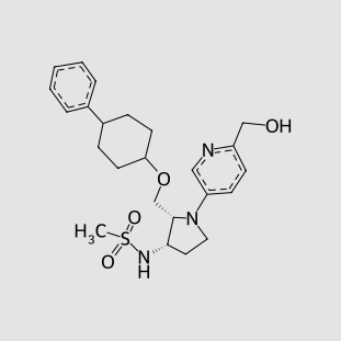 CS(=O)(=O)N[C@H]1CCN(c2ccc(CO)nc2)[C@H]1COC1CCC(c2ccccc2)CC1